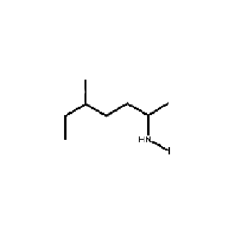 CCC(C)CCC(C)NI